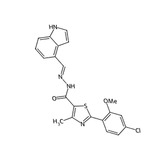 COc1cc(Cl)ccc1-c1nc(C)c(C(=O)N/N=C/c2cccc3[nH]ccc23)s1